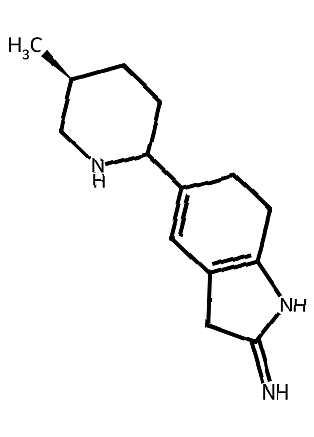 C[C@H]1CCC(C2=CC3=C(CC2)NC(=N)C3)NC1